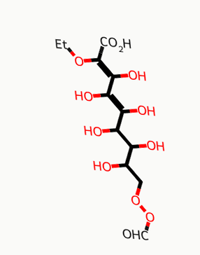 CCO/C(C(=O)O)=C(O)\C(O)=C(/O)C(O)C(O)C(O)COOC=O